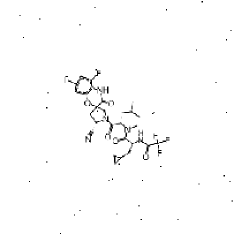 CC(C)C[C@@H](C(=O)N1C[C@@]2(C[C@H]1C#N)Oc1cc(F)cc(F)c1NC2=O)N(C)C(=O)[C@H](CC1CC1)NC(=O)C(F)(F)F